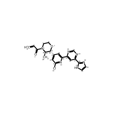 C=CC(=O)N1CCO[C@H](c2cc(Cl)nc(-c3cc(-c4ncc[nH]4)ncn3)c2)[C@H]1C